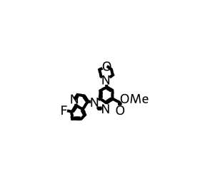 COC(=O)c1cc(N2CCOCC2)cc2c1ncn2-c1ccnc2c(F)cccc12